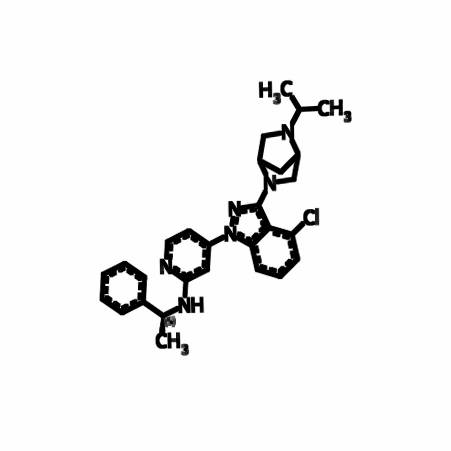 CC(C)N1CC2CC1CN2c1nn(-c2ccnc(N[C@@H](C)c3ccccc3)c2)c2cccc(Cl)c12